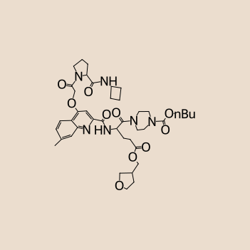 CCCCOC(=O)N1CCN(C(=O)C(CCC(=O)OCC2CCOC2)NC(=O)c2cc(OCC(=O)N3CCCC3C(=O)NC3CCC3)c3ccc(C)cc3n2)CC1